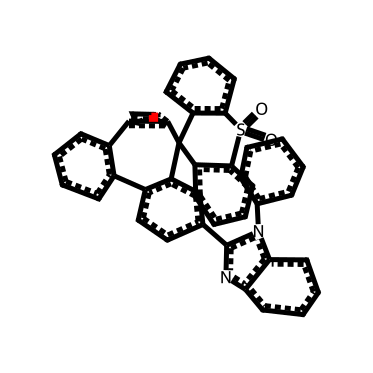 O=S1(=O)c2ccccc2C2(c3ccccc3-c3ccccc3-c3ccc(-c4nc5ccccc5n4-c4ccccc4)cc32)c2ccccc21